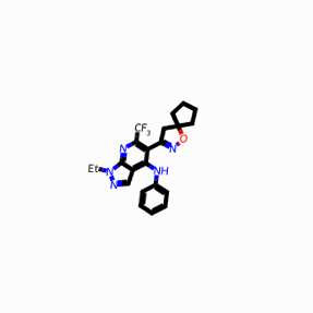 CCn1ncc2c(Nc3ccccc3)c(C3=NOC4(CCCC4)C3)c(C(F)(F)F)nc21